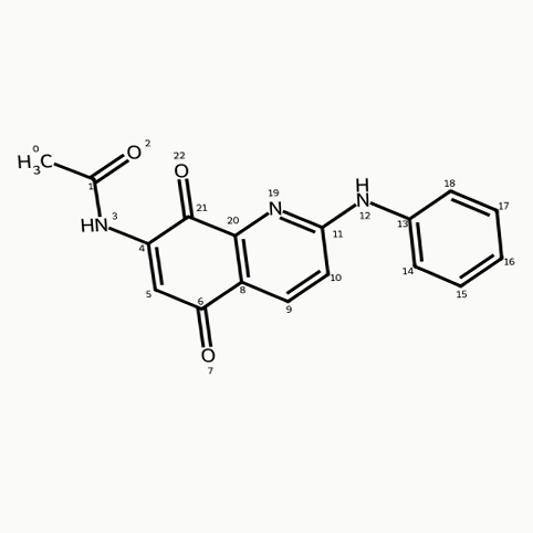 CC(=O)NC1=CC(=O)c2ccc(Nc3ccccc3)nc2C1=O